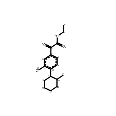 CCOC(=O)C(=O)c1ccc(C2CCCCC2C)c(Cl)c1